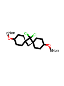 CCCCCCCCCOC1CC[C@]2(CC1)C[C@@]1(CCC(OCCCCCCCCC)CC1)C2(Cl)Cl